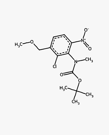 COCc1ccc([N+](=O)[O-])c(N(C)C(=O)OC(C)(C)C)c1Cl